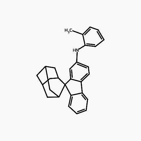 Cc1ccccc1Nc1ccc2c(c1)C1(c3ccccc3-2)C2CC3CC(C2)CC1C3